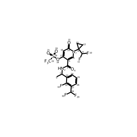 CC(NC(=O)c1cn(C2(C(F)F)CC2)c(=O)cc1OS(=O)(=O)C(F)(F)F)c1cccc(C(F)F)c1F